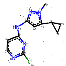 Cn1nc(Nc2ccnc(Cl)n2)cc1C1CC1